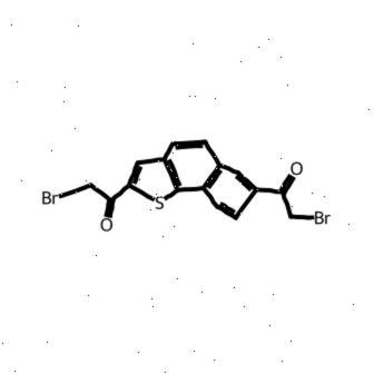 O=C(CBr)c1ccc2c(ccc3cc(C(=O)CBr)sc32)c1